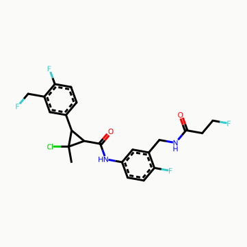 CC1(Cl)C(C(=O)Nc2ccc(F)c(CNC(=O)CCF)c2)C1c1ccc(F)c(CF)c1